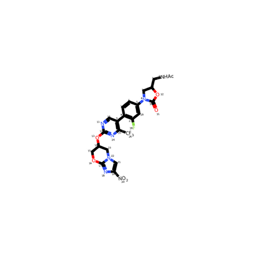 CC(=O)NCC1CN(c2ccc(-c3cnc(OC4COc5nc([N+](=O)[O-])cn5C4)nc3C(F)(F)F)c(F)c2)C(=O)O1